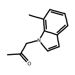 CC(=O)Cn1ccc2cccc(C)c21